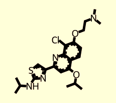 CC(C)Nc1nc(-c2cc(OC(C)C)c3ccc(OCCN(C)C)c(Cl)c3n2)cs1